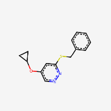 c1ccc(CSc2cc(OC3CC3)cnn2)cc1